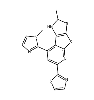 CC1Nc2c(sc3nc(-c4nccs4)cc(-c4nccn4C)c23)S1